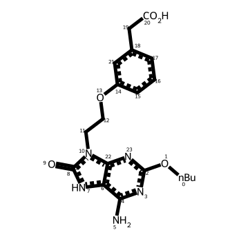 CCCCOc1nc(N)c2[nH]c(=O)n(CCOc3cccc(CC(=O)O)c3)c2n1